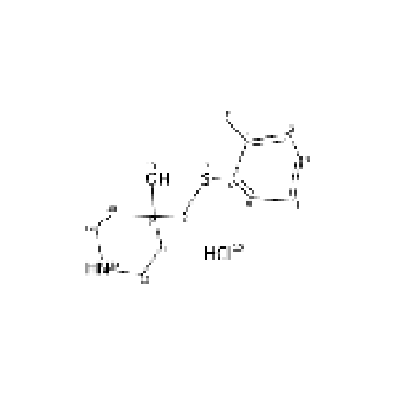 Cc1ccccc1SCC1(O)CCNCC1.Cl